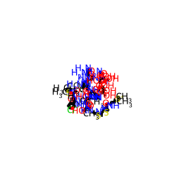 CC1(C)S[C@@H]2[C@H](NC(=O)[C@H](N)c3ccccc3)C(=O)N2[C@H]1C(=O)O.Cc1c(N)nc([C@H](CC(N)=O)NC[C@H](N)C(N)=O)nc1C(=O)N[C@H](C(=O)N[C@H](C)[C@@H](O)[C@H](C)C(=O)N[C@H](C(=O)NCCc1nc(-c2nc(C(=O)NCCC[S+](C)C)cs2)cs1)[C@@H](C)O)[C@@H](O[C@@H]1O[C@@H](CO)[C@H](O)[C@@H](O)[C@@H]1O[C@@H]1O[C@@H](CO)[C@H](O)[C@@H](OC(N)=O)[C@@H]1O)c1cnc[nH]1.[Cl-]